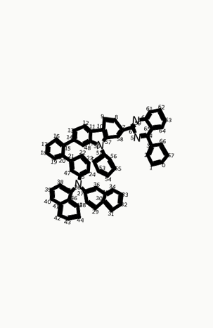 c1ccc(-c2nc(-c3ccc4c5ccc(-c6ccccc6-c6cccc(N(c7ccc8ccccc8c7)c7cccc8ccccc78)c6)cc5n(-c5ccccc5)c4c3)nc3ccccc23)cc1